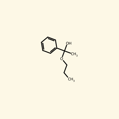 CCCOC(C)(O)c1ccccc1